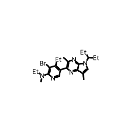 CCc1c(-c2nc3c(C)cn(C(CC)CC)c3nc2C)cnc(N(C)CC)c1Br